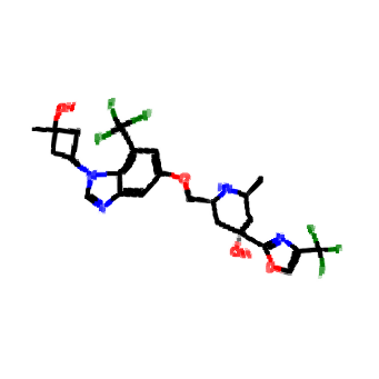 C[C@H]1C[C@@](O)(c2nc(C(F)(F)F)co2)C[C@@H](COc2cc(C(F)(F)F)c3c(c2)ncn3C2CC(C)(O)C2)N1